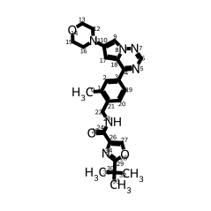 Cc1cc(-c2ncnn3cc(N4CCOCC4)cc23)ccc1CNC(=O)c1coc(C(C)(C)C)n1